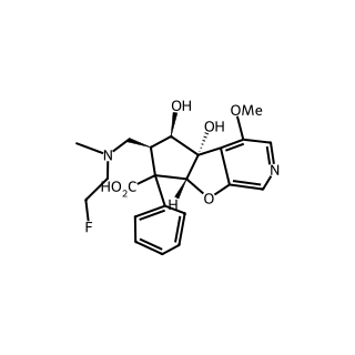 COc1cncc2c1[C@]1(O)[C@H](O)[C@H](CN(C)CCF)C(C(=O)O)(c3ccccc3)[C@H]1O2